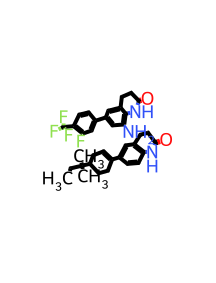 CCC(C)(C)C1CC=C(c2ccc3c(c2)CCC(=O)N3)CC1.Nc1cc(-c2ccc(C(F)(F)F)c(F)c2)cc2c1NC(=O)CC2